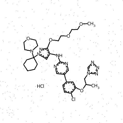 COCCOCCOc1nn(C2(N3CCOCC3)CCCCC2)cc1Nc1ncc(-c2ccc(Cl)c(OC(C)Cn3cnnn3)c2)cn1.Cl